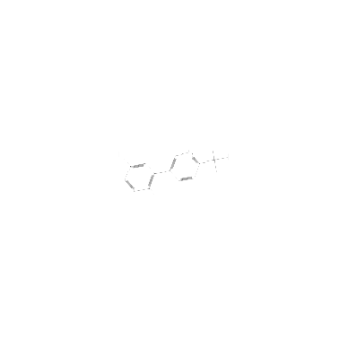 Oc1ccc(F)cc1-c1ccc(C(F)(F)F)nc1